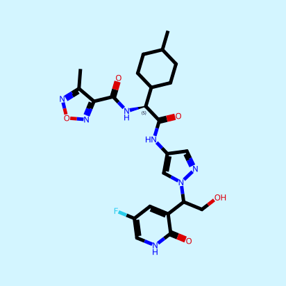 Cc1nonc1C(=O)N[C@H](C(=O)Nc1cnn(C(CO)c2cc(F)c[nH]c2=O)c1)C1CCC(C)CC1